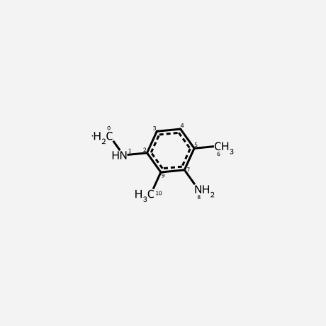 [CH2]Nc1ccc(C)c(N)c1C